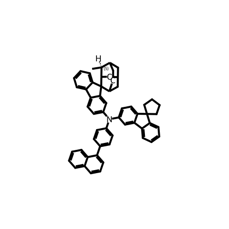 C[C@H]1C2CCC3CC(C2)CC1C31c2ccccc2-c2ccc(N(c3ccc(-c4cccc5ccccc45)cc3)c3ccc4c(c3)-c3ccccc3C43CCCC3)cc21